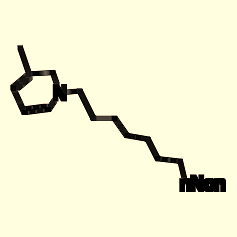 CCCCCCCCCCCCCCCCN1C=CC=C(C)C1